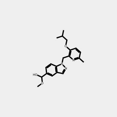 COC(O)c1ccc2c(cnn2Cc2nc(C)ccc2OCC(C)C)c1